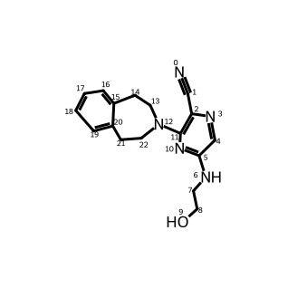 N#Cc1ncc(NCCO)nc1N1CCc2ccccc2CC1